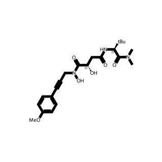 COc1ccc(C#CCN(O)C(=O)[C@@H](O)CC(=O)N[C@H](C(=O)N(C)C)C(C)(C)C)cc1